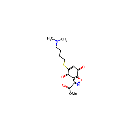 COC(=O)c1noc2c1C(=O)C(SCCCCN(C)C)=CC2=O